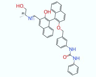 C[C@H](CO)/N=C/c1cc2ccccc2c(-c2c(OCc3cccc(NC(=O)Nc4ccccc4)c3)ccc3ccccc23)c1O